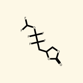 O=C1OCC(CC(F)(F)C(F)(F)OC(F)F)O1